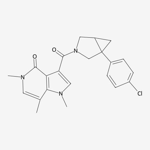 Cc1cn(C)c(=O)c2c(C(=O)N3CC4CC4(c4ccc(Cl)cc4)C3)cn(C)c12